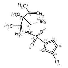 C=C(C)C(O)(C(=C)C)[C@@H](NS(=O)(=O)c1ccc(Cl)s1)[C@@H](C)CC